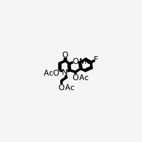 COc1c(C(OC(C)=O)c2ccc(F)cc2)n(CCOC(C)=O)c(OC(C)=O)cc1=O